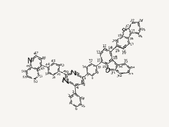 c1ccc(-c2cc(-c3ccc(-c4ccc(-c5ccc6c(c5)sc5ccccc56)c5c4oc4ccccc45)cc3)nc(-c3ccc(-c4ccnc5ccccc45)cc3)n2)cc1